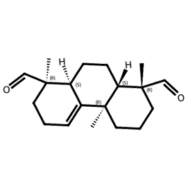 C[C@@]12CCC[C@@](C)(C=O)[C@H]1CC[C@H]1C2=CCC[C@@]1(C)C=O